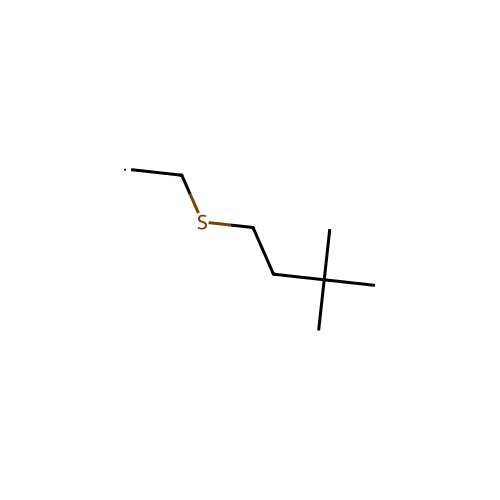 [CH2]CSCCC(C)(C)C